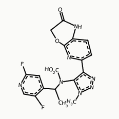 CC(c1cc(F)ncc1F)N(C(=O)O)c1c(-c2ccc3c(n2)OCC(=O)N3)nnn1C